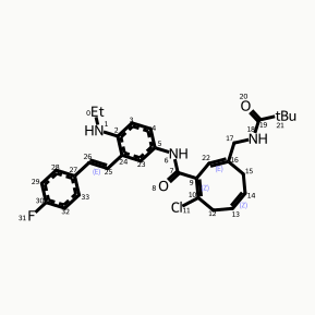 CCNc1ccc(NC(=O)C2=C(\Cl)C/C=C\C/C(CNC(=O)C(C)(C)C)=C\2)cc1/C=C/c1ccc(F)cc1